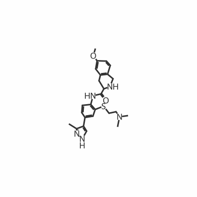 COc1ccc2c(c1)CC(C(=O)Nc1ccc(-c3c[nH]nc3C)cc1SCCN(C)C)NC2